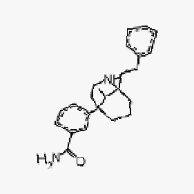 CC1C2(CCc3ccccc3)CCCC1(c1cccc(C(N)=O)c1)CCN2